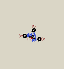 OC(c1cn(-c2ccc(Br)cc2)nn1)(c1cn(-c2ccc(Br)cc2)nn1)c1cn(-c2ccc(Br)cc2)nn1